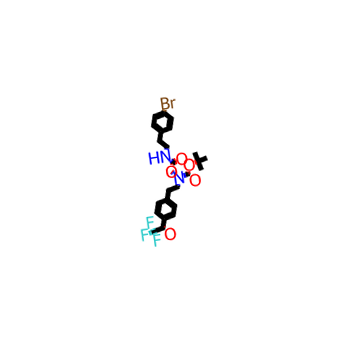 CC(C)(C)OC(=O)N(CCc1ccc(C(=O)C(F)(F)F)cc1)OC(=O)NCCc1ccc(Br)cc1